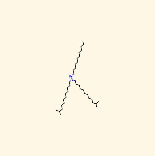 CCCCCCCCCCCCNN(CCCCCCCCCCC(C)C)CCCCCCCCCCC(C)C